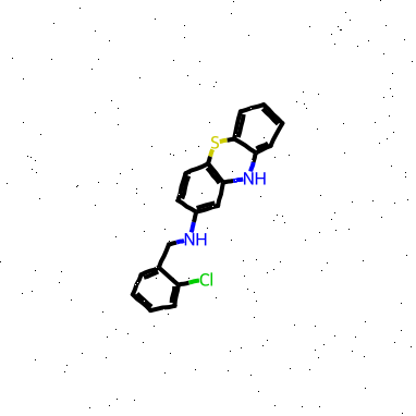 Clc1ccccc1CNc1ccc2c(c1)Nc1ccccc1S2